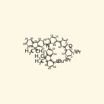 CC(C)c1cc(C(C)C)c2oc3ccc(-c4cccc(N(c5ccc6c(c5)C(C)(C)c5ccccc5-6)c5ccc6c(c5)C(C)(C)c5cccc(C(C)(C)C)c5-6)c4)cc3c2c1